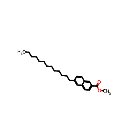 CCCCCCCCCCCCCc1ccc2cc(C(=O)OC)ccc2c1